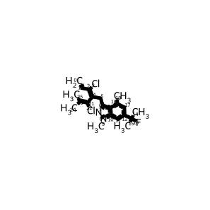 C=C/C(Cl)=C(/Cc1nn(C)c2cc(C(C)(C)F)cc(C)c12)C(Cl)=C(C)C